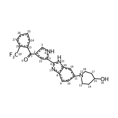 O=C(c1c[nH]c(-c2nc3ccc(N4CCC(O)CC4)cc3[nH]2)c1)c1ccccc1C(F)(F)F